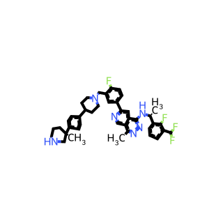 Cc1nnc(N[C@H](C)c2cccc(C(F)F)c2F)c2cc(-c3ccc(F)c(CN4CCC(c5ccc([C@@]6(C)CCCNC6)cc5)CC4)c3)ncc12